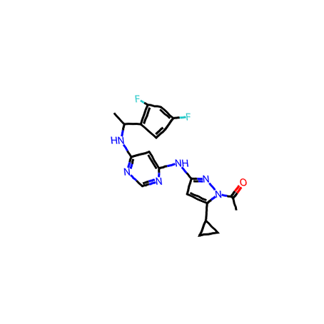 CC(=O)n1nc(Nc2cc(NC(C)c3ccc(F)cc3F)ncn2)cc1C1CC1